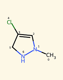 CN1C=C(Cl)CN1